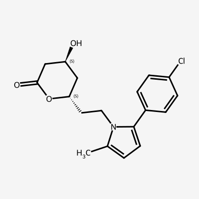 Cc1ccc(-c2ccc(Cl)cc2)n1CC[C@H]1C[C@H](O)CC(=O)O1